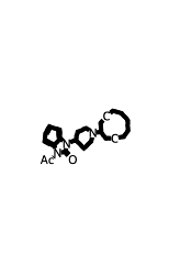 CC(=O)n1c(=O)n(C2CCN(C3CCCCCCCCC3)CC2)c2ccccc21